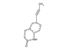 CC#Cc1ccc2[nH]c(=O)ccc2c1